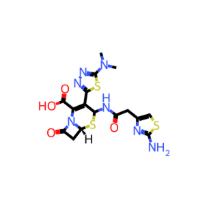 CN(C)c1nnc(C2=C(C(=O)O)N3C(=O)C[C@H]3SC2NC(=O)Cc2csc(N)n2)s1